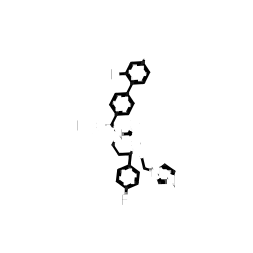 C[C@@H](c1ccc(-c2ccc(F)cc2F)cc1)N1CC[C@](CCn2ccnc2)(c2ccc(F)cc2)OC1=O